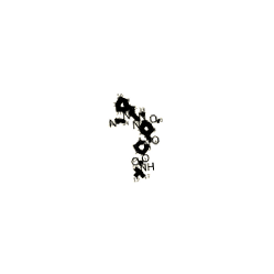 COc1cc(C(=O)N2CCC[C@@H](OC(=O)NC(C)(C)C)C2)cc2nc(-c3cc4ccccc4n3CC#N)n(C)c12